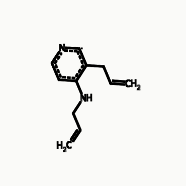 C=CCNc1ccn[c]c1CC=C